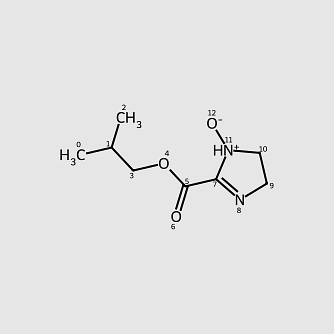 CC(C)COC(=O)C1=NCC[NH+]1[O-]